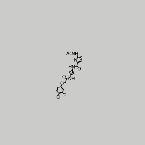 CC(=O)Nc1nc(C(=O)NC23CC(NC(=O)COc4ccc(Cl)c(F)c4)(C2)C3)cs1